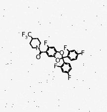 O=C(c1cc2c(cc1F)OC(c1ccc(F)cc1F)(c1ccc(F)cc1F)O2)N1CCC(C(F)(F)F)CC1